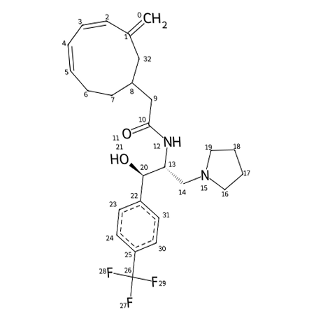 C=C1/C=C\C=C/CCC(CC(=O)N[C@H](CN2CCCC2)[C@H](O)c2ccc(C(F)(F)F)cc2)C1